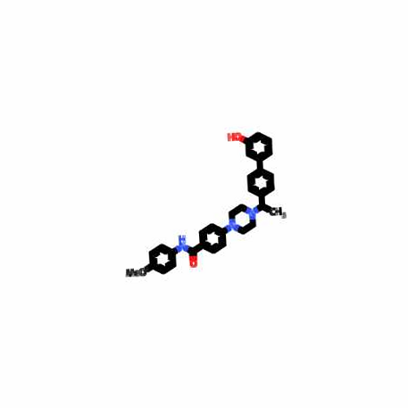 COc1ccc(NC(=O)c2ccc(N3CCN(C(C)c4ccc(-c5cccc(O)c5)cc4)CC3)cc2)cc1